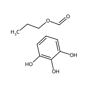 CCCOC=O.Oc1cccc(O)c1O